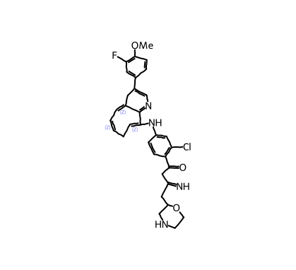 COc1ccc(C2=CN=C3/C(=C\C=C/C/C=C/3Nc3ccc(C(=O)CC(=N)CC4CNCCO4)c(Cl)c3)C2)cc1F